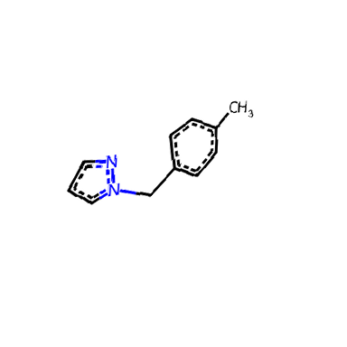 Cc1ccc(Cn2cccn2)cc1